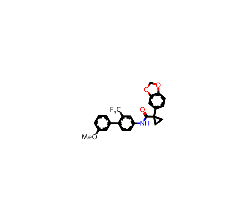 COc1cccc(-c2ccc(NC(=O)C3(c4ccc5c(c4)OCO5)CC3)cc2C(F)(F)F)c1